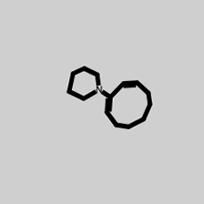 C1=CC(N2CCCCC2)=CCCCCC1